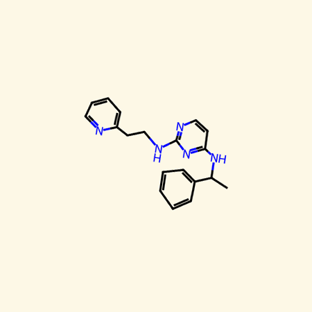 CC(Nc1ccnc(NCCc2ccccn2)n1)c1ccccc1